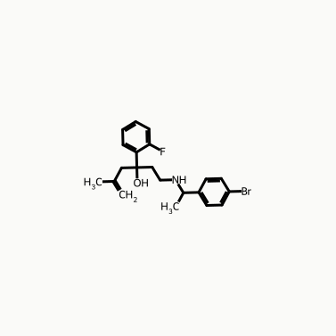 C=C(C)CC(O)(CCNC(C)c1ccc(Br)cc1)c1ccccc1F